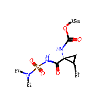 CCC1C[C@]1(NC(=O)OC(C)(C)C)C(=O)NS(=O)(=O)N(CC)CC